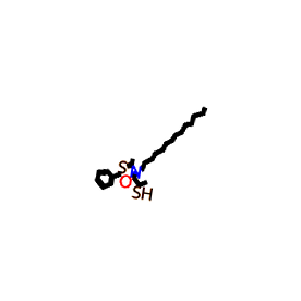 CCCCCCCCCCCCCCN(C(C)=S)C(OCc1ccccc1)C(C)S